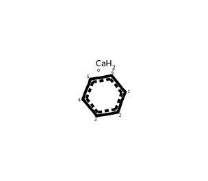 [CaH2].[c]1ccccc1